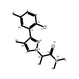 Cc1ccc(Cl)c(-c2nn(C(C)C(=O)N(C)C)cc2C)c1